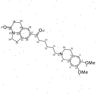 COc1cc2c(cc1OC)CN(CCCCCC(=O)c1cc3c4c(c1)CCN4C(=O)CC3)CC2